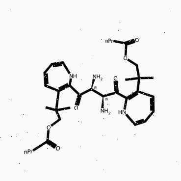 CCCC(=O)OCC(C)(C)C1=C(C(=O)[C@@H](N)[C@H](N)C(=O)C2=C(C(C)(C)COC(=O)CCC)C=CC=CN2)NC=CC=C1